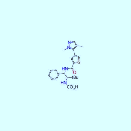 Cc1cnn(C)c1-c1csc(C(=O)N[C@@H](c2ccccc2)C(NC(=O)O)C(C)(C)C)c1